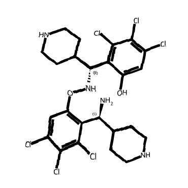 N[C@H](c1c(ON[C@@H](c2c(O)cc(Cl)c(Cl)c2Cl)C2CCNCC2)cc(Cl)c(Cl)c1Cl)C1CCNCC1